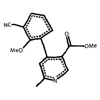 COC(=O)c1cnc(C)cc1-c1cccc(C#N)c1OC